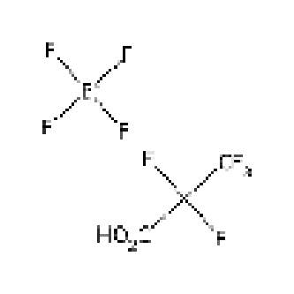 F[B-](F)(F)F.O=C(O)C(F)(F)C(F)(F)F